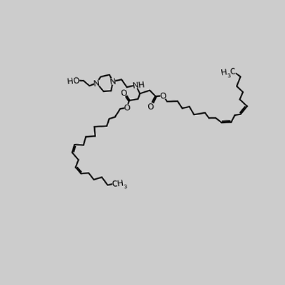 CCCCC/C=C\C/C=C\CCCCCCCCOC(=O)CC(CC(=O)OCCCCCCCC/C=C\C/C=C\CCCCC)NCCN1CCN(CCO)CC1